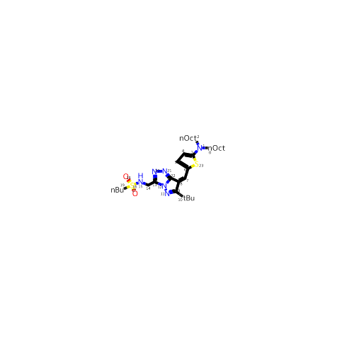 CCCCCCCCN(CCCCCCCC)c1ccc(/C=c2/c(C(C)(C)C)nn3c(CNS(=O)(=O)CCCC)nnc23)s1